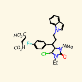 CCN1C(=O)N(NC)C(C(CCn2ccc3ccccc32)c2ccc(F)cc2)C1Cl.O=C(O)C=CC(=O)O